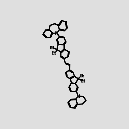 CCC1(CC)c2cc(/C=C/c3ccc4c(c3)C(CC)(CC)C3C=C(N5CCCc6ccccc65)C=CC43)ccc2-c2ccc(N3c4ccccc4CCc4ccccc43)cc21